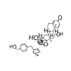 C[C@]12C=CC(=O)C=C1CC[C@@H]1[C@@H]2[C@@H](O)C[C@@]2(C)[C@H]1C[C@H]1O[C@@H](c3cscc3Cc3ccc(CO)cc3)O[C@]12C(=O)CO